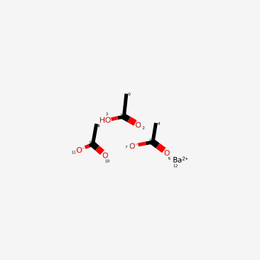 CC(=O)O.CC(=O)[O-].CC(=O)[O-].[Ba+2]